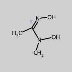 C/C(=N/O)N(C)O